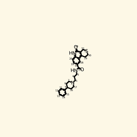 O=C(NCCCN1CCC(c2ccccc2)CC1)c1ccc2[nH]c(=O)c3c(c2c1)CCSC3